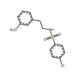 CC(=O)Oc1cccc(CCNS(=O)(=O)c2ccc(Cl)cc2)c1